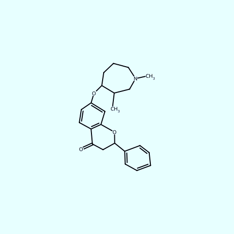 CC1CN(C)CCCC1Oc1ccc2c(c1)OC(c1ccccc1)CC2=O